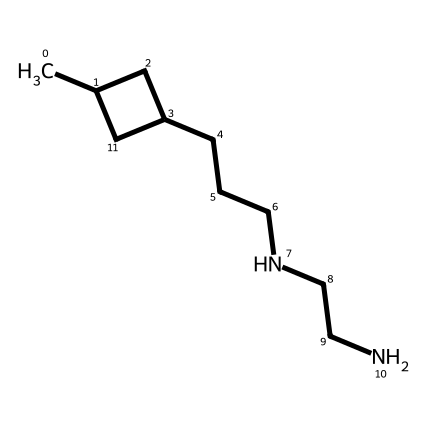 CC1CC(CCCNCCN)C1